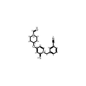 N#Cc1cccc(Cn2ccc(OC3CCN([C]=O)CC3)cc2=S)c1